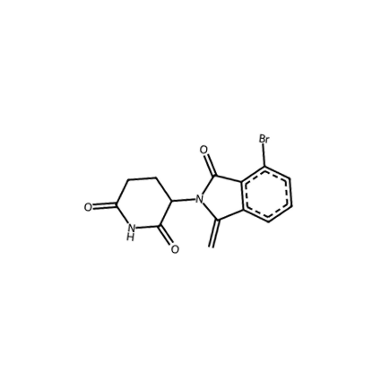 C=C1c2cccc(Br)c2C(=O)N1C1CCC(=O)NC1=O